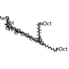 CCCCCCCC/C=C\CCCCCCCCOCC(COCCOCCOCCOCCOC(=O)CNCCOC(=O)C(C)NCCOC)OCCCCCCCC/C=C\CCCCCCCC